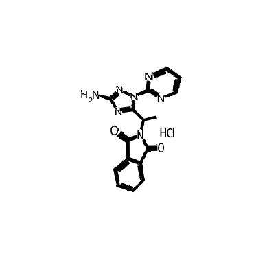 CC(c1nc(N)nn1-c1ncccn1)N1C(=O)c2ccccc2C1=O.Cl